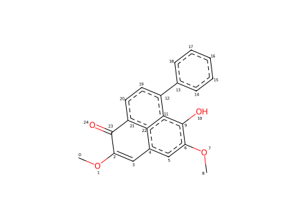 COC1=Cc2cc(OC)c(O)c3c(-c4ccccc4)ccc(c23)C1=O